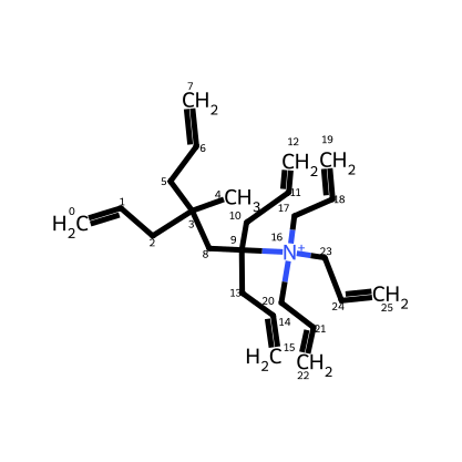 C=CCC(C)(CC=C)CC(CC=C)(CC=C)[N+](CC=C)(CC=C)CC=C